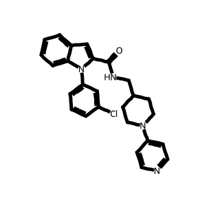 O=C(NCC1CCN(c2ccncc2)CC1)c1cc2ccccc2n1-c1cccc(Cl)c1